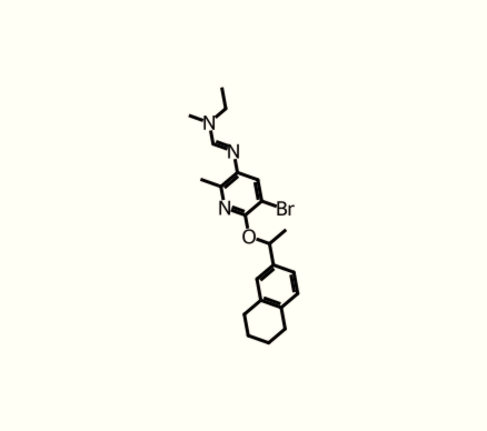 CCN(C)/C=N/c1cc(Br)c(OC(C)c2ccc3c(c2)CCCC3)nc1C